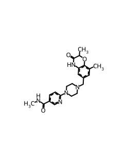 CNC(=O)c1ccc(N2CCN(Cc3cc(C)c4c(c3)NC(=O)C(C)O4)CC2)nc1